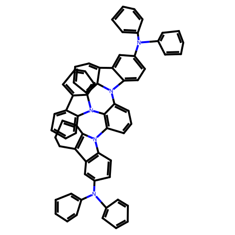 C1=Cc2c(c3cc(N(c4ccccc4)c4ccccc4)ccc3n2-c2cccc(-n3c4ccccc4c4cc(N(c5ccccc5)c5ccccc5)ccc43)c2-n2c3ccccc3c3ccccc32)CC1